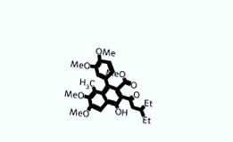 CCC(CC)CC(=O)c1c(C(=O)OC)c(-c2ccc(OC)c(OC)c2)c2c(C)c(OC)c(OC)cc2c1O